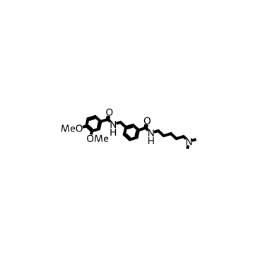 COc1ccc(C(=O)NCc2cccc(C(=O)NCCCCCN(C)C)c2)cc1OC